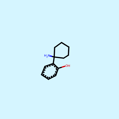 NC1(c2cc[c]cc2O)CCCCC1